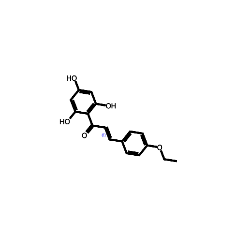 CCOc1ccc(/C=C/C(=O)c2c(O)cc(O)cc2O)cc1